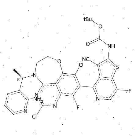 C[C@H](c1cccnc1N)N1CCOc2c(Cl)c(-c3ncc(F)c4sc(NC(=O)OC(C)(C)C)c(C#N)c34)c(F)c3nc(Cl)nc1c23